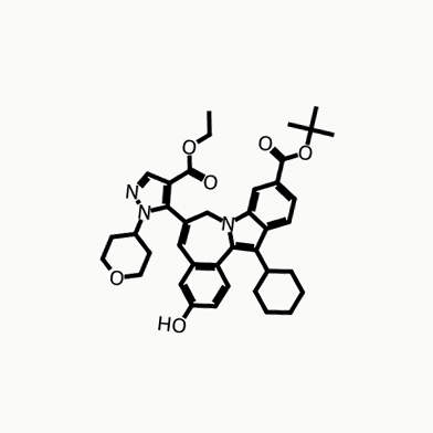 CCOC(=O)c1cnn(C2CCOCC2)c1C1=Cc2cc(O)ccc2-c2c(C3CCCCC3)c3ccc(C(=O)OC(C)(C)C)cc3n2C1